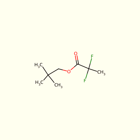 CC(C)(C)COC(=O)C(C)(F)F